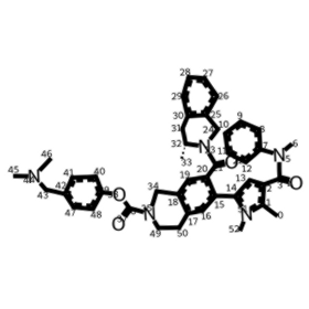 Cc1c(C(=O)N(C)c2ccccc2)cc(-c2cc3c(cc2C(=O)N2Cc4ccccc4C[C@H]2C)CN(C(=O)Oc2ccc(CN(C)C)cc2)CC3)n1C